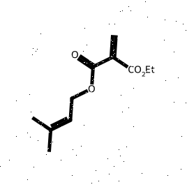 C=C(C(=O)OCC)C(=O)OCC=C(C)C